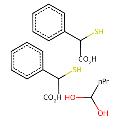 CCCC(O)O.O=C(O)C(S)c1ccccc1.O=C(O)C(S)c1ccccc1